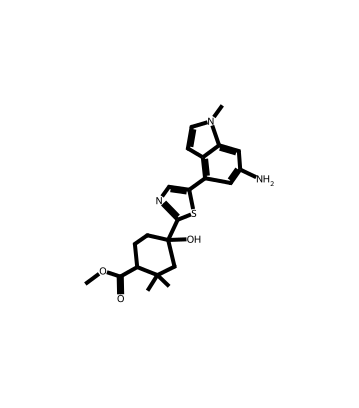 COC(=O)C1CCC(O)(c2ncc(-c3cc(N)cc4c3ccn4C)s2)CC1(C)C